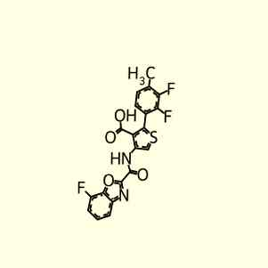 Cc1ccc(-c2scc(NC(=O)c3nc4cccc(F)c4o3)c2C(=O)O)c(F)c1F